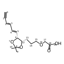 C#CC=CC=C[C@H]1OC(C)(C)O[C@H]1CCCOCC(=O)O